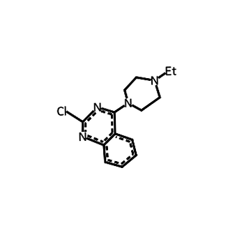 CCN1CCN(c2nc(Cl)nc3ccccc23)CC1